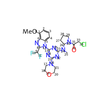 COc1cccc2c1nc(C(F)F)n2-c1nc(N2CCOCC2)nc(N(C)C2CCCN2C(=O)CCl)n1